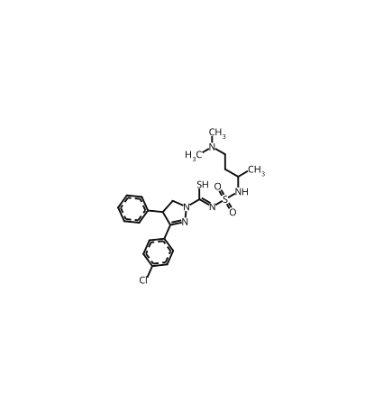 CC(CCN(C)C)NS(=O)(=O)N=C(S)N1CC(c2ccccc2)C(c2ccc(Cl)cc2)=N1